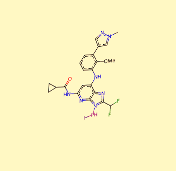 COc1c(Nc2cc(NC(=O)C3CC3)nc3c2nc(C(F)F)n3PI)cccc1-c1cnn(C)c1